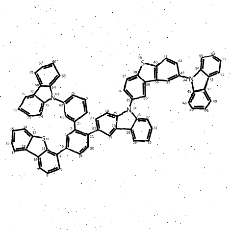 c1cc(-c2cc(-c3cccc4c3sc3ccccc34)ccc2-c2ccc3c(c2)c2ccccc2n3-c2ccc3sc4ccc(-n5c6ccccc6c6ccccc65)cc4c3c2)cc(-n2c3ccccc3c3ccccc32)c1